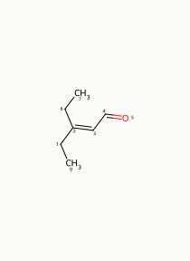 CCC(=CC=O)CC